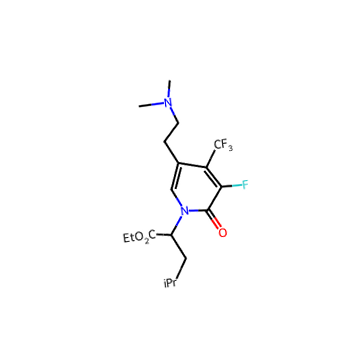 CCOC(=O)C(CC(C)C)n1cc(CCN(C)C)c(C(F)(F)F)c(F)c1=O